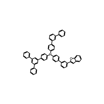 c1ccc(-c2cccc(-c3ccc(N(c4ccc(-c5cc(-c6ccccc6)cc(-c6ccccc6)c5)cc4)c4ccc(-c5cccc(-c6cc7ccccc7o6)c5)cc4)cc3)c2)cc1